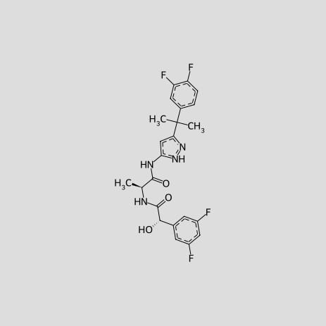 C[C@H](NC(=O)[C@@H](O)c1cc(F)cc(F)c1)C(=O)Nc1cc(C(C)(C)c2ccc(F)c(F)c2)n[nH]1